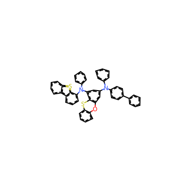 c1ccc(-c2ccc(N(c3ccccc3)c3cc4c(c(N(c5ccccc5)c5cccc6c5sc5ccccc56)c3)Sc3ccccc3O4)cc2)cc1